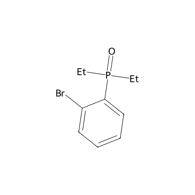 CCP(=O)(CC)c1ccccc1Br